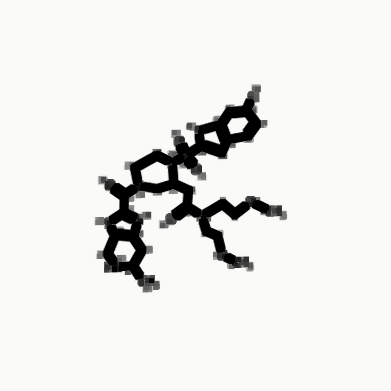 COCCN(CCOC)C(=O)CC1CN(C(=O)c2nc3c(s2)CNC(C)C3)CCN1S(=O)(=O)c1cc2ccc(Cl)cc2s1